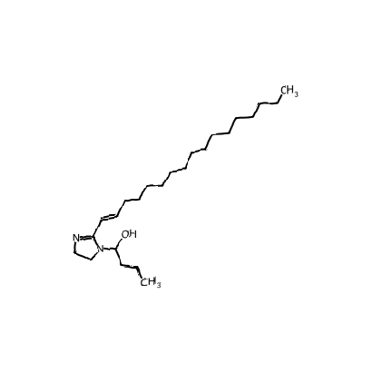 CCCCCCCCCCCCCCCC=CC1=NCCN1C(O)CCC